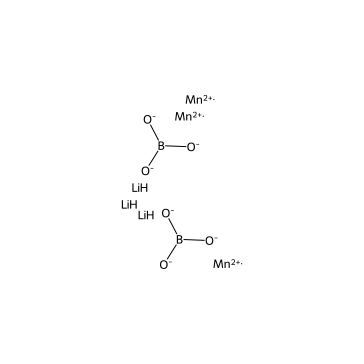 [LiH].[LiH].[LiH].[Mn+2].[Mn+2].[Mn+2].[O-]B([O-])[O-].[O-]B([O-])[O-]